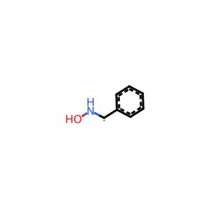 ON[CH]c1ccccc1